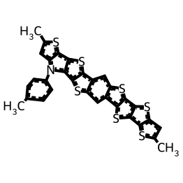 Cc1ccc(-n2c3cc(C)sc3c3sc4c5cc6sc7c(sc8c9sc(C)cc9sc87)c6cc5sc4c32)cc1